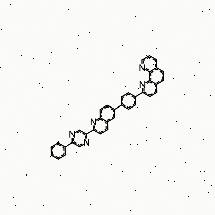 c1ccc(-c2cnc(-c3ccc4cc(-c5ccc(-c6ccc7ccc8cccnc8c7n6)cc5)ccc4n3)cn2)cc1